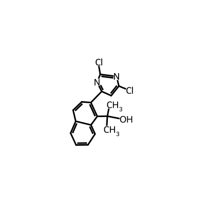 CC(C)(O)c1c(-c2cc(Cl)nc(Cl)n2)ccc2ccccc12